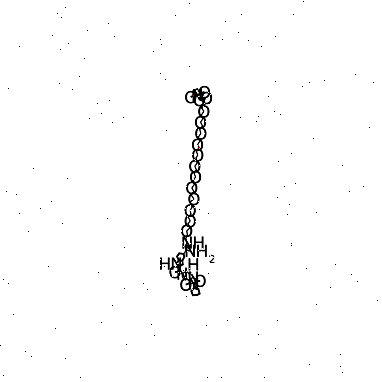 N/C(=C\NCCOCCOCCOCCOCCOCCOCCOCCOCCOCCOCCOCCOCCC(=O)ON1C(=O)CCC1=O)c1ccc2[nH]c(C(=O)N3CCC4(CC3)NC(=O)N(c3ccccc3)C4=O)cc2c1